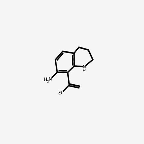 C=C(CC)c1c(N)ccc2c1NCCC2